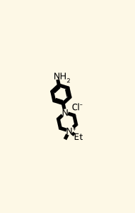 CC[N+]1(C)CCN(c2ccc(N)cc2)CC1.[Cl-]